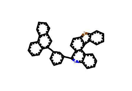 c1cc(-c2cc3ccccc3c3ccccc23)cc(-c2nc3ccccc3c3c2ccc2sc4ccccc4c23)c1